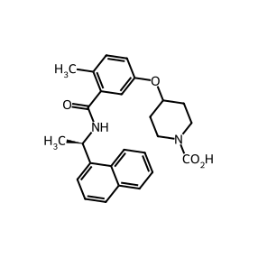 Cc1ccc(OC2CCN(C(=O)O)CC2)cc1C(=O)N[C@H](C)c1cccc2ccccc12